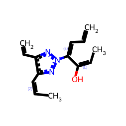 C=C/C=C(\C(O)=C/C)n1nc(C=C)c(/C=C\C)n1